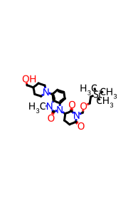 Cn1c(=O)n(C2CCC(=O)N(COCC[Si](C)(C)C)C2=O)c2cccc(N3CCC(CO)CC3)c21